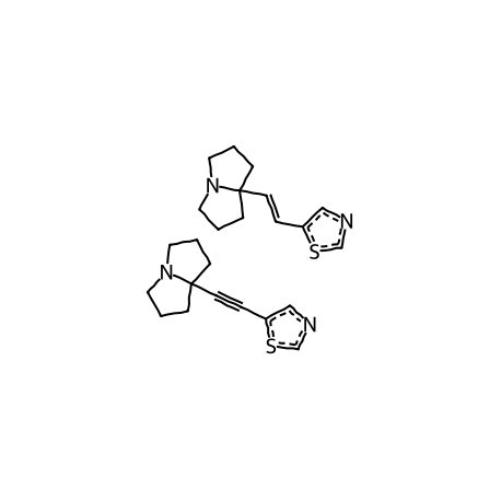 C(#CC12CCCN1CCC2)c1cncs1.C(=CC12CCCN1CCC2)c1cncs1